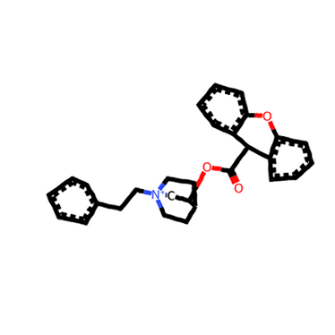 O=C(OC1C[N+]2(CCc3ccccc3)CCC1CC2)C1c2ccccc2Oc2ccccc21